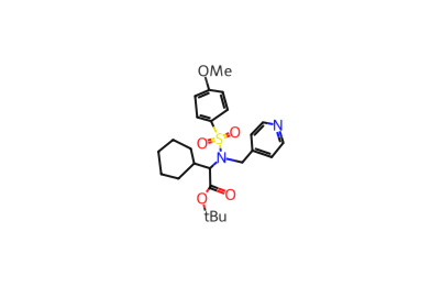 COc1ccc(S(=O)(=O)N(Cc2ccncc2)C(C(=O)OC(C)(C)C)C2CCCCC2)cc1